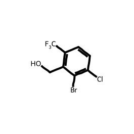 OCc1c(C(F)(F)F)ccc(Cl)c1Br